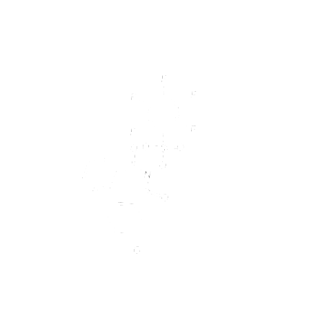 COc1ccc2c(c1)c(=O)n(OS(=O)(=O)c1c(F)c(F)c(F)c(F)c1F)c(=O)c1ccccc12